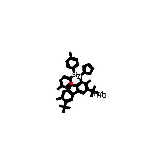 Cc1ccc([Si](c2ccc(C)cc2)=[Zr]([C]2=CC=CC2)[c]2c(C)c(C(C)(C)C)cc3c2Cc2cc(C)c(C(C)(C)C)cc2-3)cc1.Cl.Cl